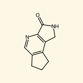 O=C1NCc2c1ncc1c2CCC1